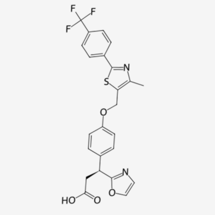 Cc1nc(-c2ccc(C(F)(F)F)cc2)sc1COc1ccc([C@H](CC(=O)O)c2ncco2)cc1